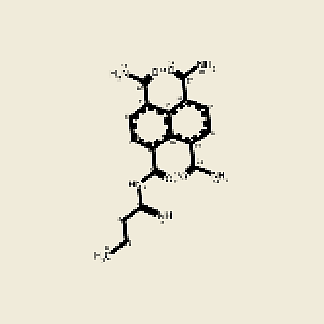 CCCC(=N)NC(=O)c1ccc(C(N)=O)c2c(C(N)=O)ccc(C(N)=O)c12